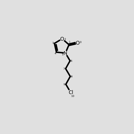 O=c1occn1CCCCCl